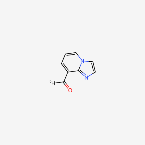 [2H]C(=O)c1cccn2ccnc12